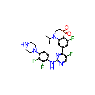 CC(C)N1CCS(=O)(=O)c2c(F)cc(-c3nc(Nc4ccc(N5CCNCC5)c(F)c4F)ncc3F)cc21